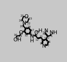 N=C/C(=C\N)c1ccncc1/C=C/C(=O)Nc1ccc(CN2CCOCC2)c(OCCO)c1